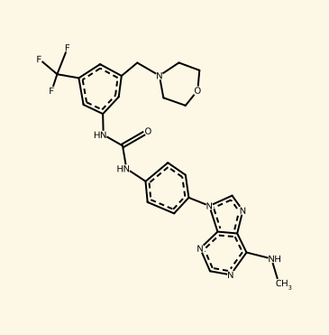 CNc1ncnc2c1ncn2-c1ccc(NC(=O)Nc2cc(CN3CCOCC3)cc(C(F)(F)F)c2)cc1